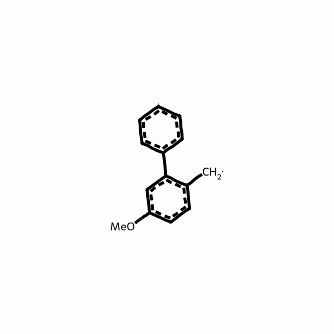 [CH2]c1ccc(OC)cc1-c1cc[c]cc1